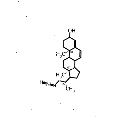 C[C@H](CN=[N+]=[N-])C1CCC2C3C=CC4=CC(O)CC[C@]4(C)C3CC[C@@]21C